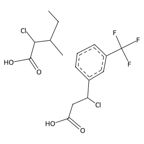 CCC(C)C(Cl)C(=O)O.O=C(O)CC(Cl)c1cccc(C(F)(F)F)c1